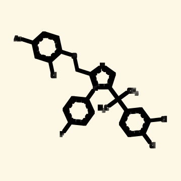 CC(=O)c1ccc(OCc2ncc(C(C)(C)c3ccc(Cl)c(Cl)c3)n2-c2ccc(F)cc2)c(Cl)c1